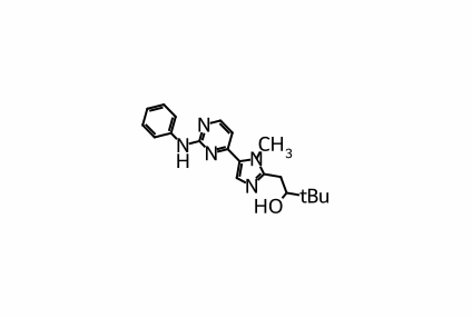 Cn1c(-c2ccnc(Nc3ccccc3)n2)cnc1CC(O)C(C)(C)C